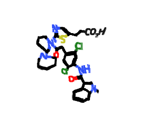 Cn1cc(C(=O)Nc2cc(Cl)c(CC(=O)[N+]3(c4ncc(CCC(=O)O)s4)CCC[C@H]3N3CCCCC3)cc2Cl)c2ccccc21